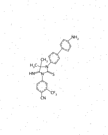 CC1(C)C(=N)N(c2ccc(C#N)c(C(F)(F)F)c2)C(=S)N1c1ccc(-c2ccc(N)cc2)cc1